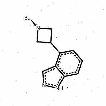 CC[C@H](C)N1CC(c2cccc3[nH]ncc23)C1